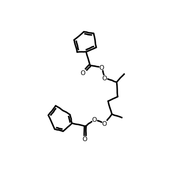 CC(CCC(C)OOC(=O)c1ccccc1)OOC(=O)c1ccccc1